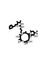 CCC1OC(O)C(C)C(O)[C@@H](C)C(OC2OC(C)CC(N(C)C)[C@@H]2O)C(C)(O)CC(C)CN(CCCNC(O)NC(C)C(C)CCCC2=CC=CCC2)C(C)C(O)C1C